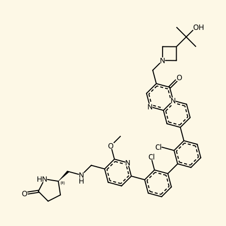 COc1nc(-c2cccc(-c3cccc(-c4ccn5c(=O)c(CN6CC(C(C)(C)O)C6)cnc5c4)c3Cl)c2Cl)ccc1CNC[C@H]1CCC(=O)N1